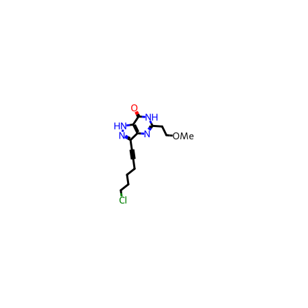 COCCc1nc2c(C#CCCCCCl)n[nH]c2c(=O)[nH]1